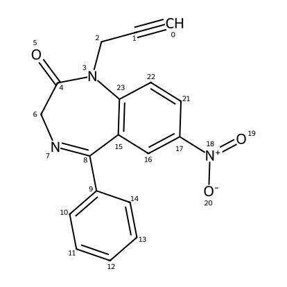 C#CCN1C(=O)CN=C(c2ccccc2)c2cc([N+](=O)[O-])ccc21